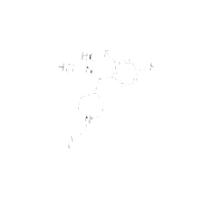 C=CCN1CCC(C(=NO)c2ccc(F)cc2F)CC1.Cl